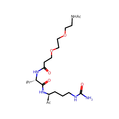 CC(=O)NCCOCCOCCC(=O)N[C@H](C(=O)N[C@@H](CCCNC(N)=O)C(C)=O)C(C)C